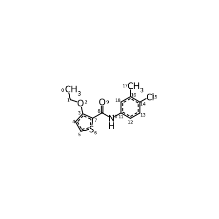 CCOc1ccsc1C(=O)Nc1ccc(Cl)c(C)c1